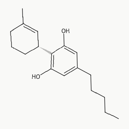 CCCCCc1cc(O)c([C@H]2C=C(C)CCC2)c(O)c1